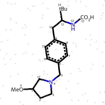 COC1CCN(Cc2ccc(CC(NC(=O)O)C(C)(C)C)cc2)C1